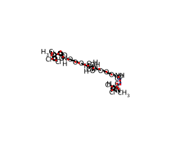 C=C(/C=C\C=C\S(=O)(=O)NCCOCCOCCOCCNC(=O)C(O)C(O)C(=O)NCCOCCOCCOCCNS(=O)(=O)c1cccc(C2CN(C)Cc3c(Cl)cc(Cl)cc32)c1)[C@@H]1CN(C)Cc2c(Cl)cc(Cl)cc21